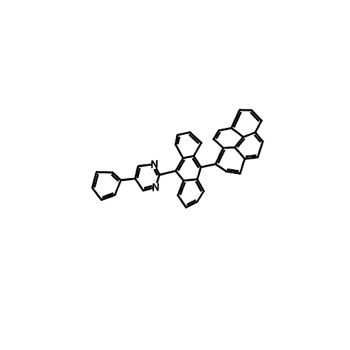 c1ccc(-c2cnc(-c3c4ccccc4c(-c4ccc5ccc6cccc7ccc4c5c67)c4ccccc34)nc2)cc1